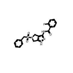 O=C(Nc1n[nH]c2c1CN(S(=O)(=O)Cc1ccccc1)C2)c1ccccc1F